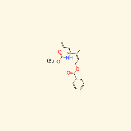 C=CC[C@H](NC(=O)OC(C)(C)C)C(C)=CCOC(=O)c1ccccc1